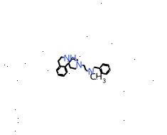 CN(CCN1CCC2(CC1)NCCc1ccccc12)Cc1ccccc1